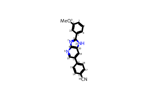 COc1cccc(-c2nc3ncc(-c4ccc(C#N)cc4)cc3[nH]2)c1